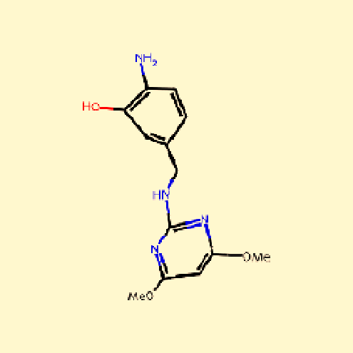 COc1cc(OC)nc(NCc2ccc(N)c(O)c2)n1